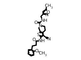 COc1ccccc1CCC(=O)Nc1sc2c(c1C#N)CCN(C(=O)NCc1cc(C)on1)C2